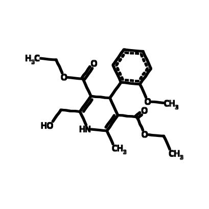 CCOC(=O)C1=C(C)NC(CO)=C(C(=O)OCC)C1c1ccccc1OC